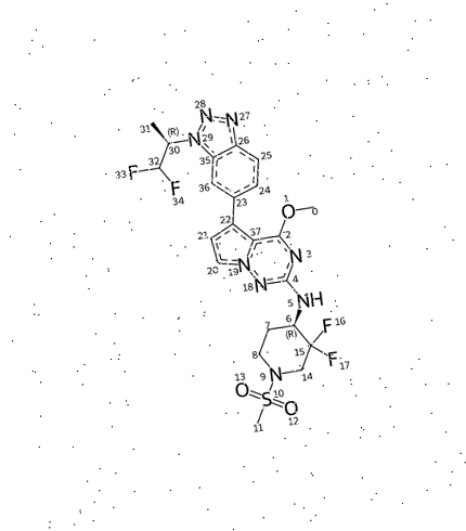 COc1nc(N[C@@H]2CCN(S(C)(=O)=O)CC2(F)F)nn2ccc(-c3ccc4nnn([C@H](C)C(F)F)c4c3)c12